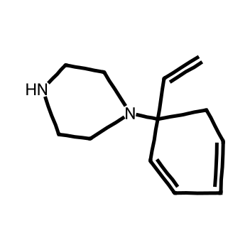 C=CC1(N2CCNCC2)C=CC=CC1